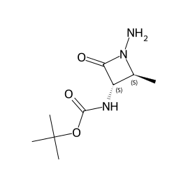 C[C@H]1[C@H](NC(=O)OC(C)(C)C)C(=O)N1N